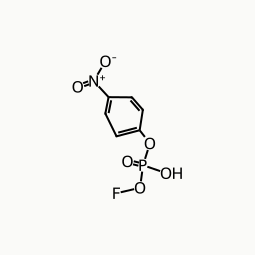 O=[N+]([O-])c1ccc(OP(=O)(O)OF)cc1